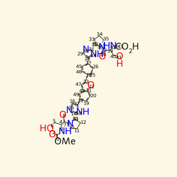 COC(=O)NC(CO)C(=O)N1CCC[C@H]1c1ncc(-c2ccc3oc(-c4ccc(-c5cnc([C@@H]6CCCN6C(=O)C(CO)NC(=O)O)[nH]5)cc4)cc3c2)[nH]1